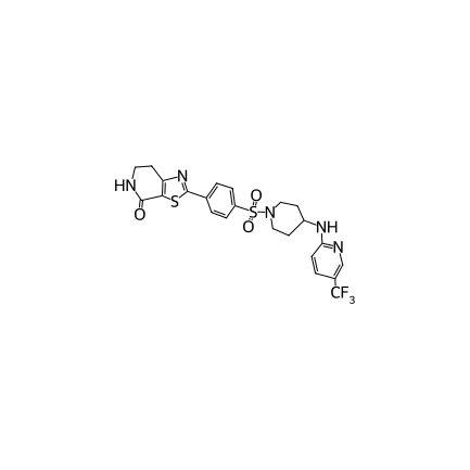 O=C1NCCc2nc(-c3ccc(S(=O)(=O)N4CCC(Nc5ccc(C(F)(F)F)cn5)CC4)cc3)sc21